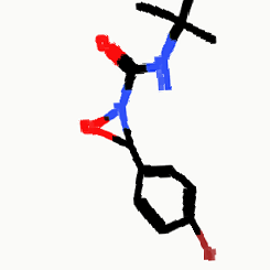 CC(C)(C)NC(=O)N1OC1c1ccc(Br)cc1